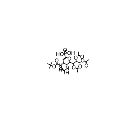 CC(=O)NC1C(NC(=O)OC(C)(C)C)C=C(P(=O)(O)O)OC1C(OC(C)=O)C(COC(C)=O)OC(C)=O